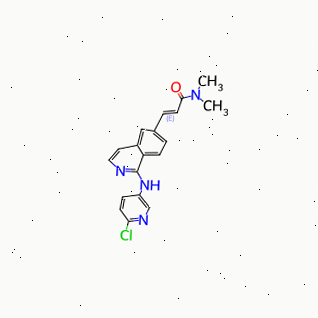 CN(C)C(=O)/C=C/c1ccc2c(Nc3ccc(Cl)nc3)nccc2c1